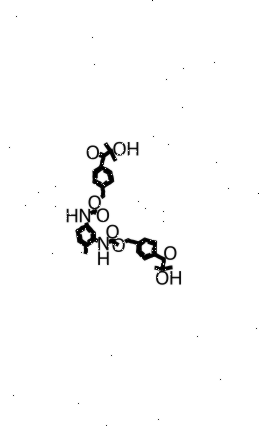 Cc1ccc(NC(=O)OCc2ccc(C(=O)C(C)(C)O)cc2)cc1NC(=O)OCc1ccc(C(=O)C(C)(C)O)cc1